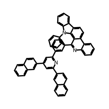 c1ccc(-n2c3ccccc3c3ccc4c5ccccc5nc(-c5cccc(-c6cc(-c7ccc8ccccc8c7)cc(-c7ccc8ccccc8c7)n6)c5)c4c32)cc1